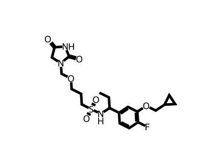 CCC(NS(=O)(=O)CCCOCN1CC(=O)NC1=O)c1ccc(F)c(OCC2CC2)c1